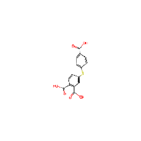 O=C(O)c1ccc(Sc2ccc(C(=O)O)c(C(=O)O)c2)cc1